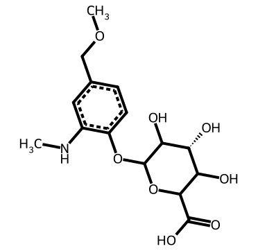 CNc1cc(COC)ccc1OC1OC(C(=O)O)C(O)[C@@H](O)C1O